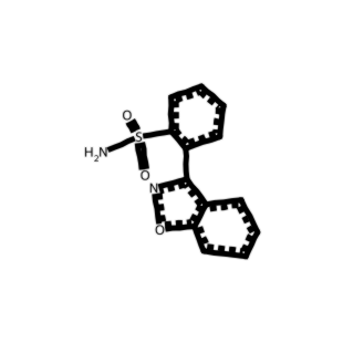 NS(=O)(=O)c1ccccc1-c1noc2ccccc12